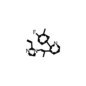 C=Cc1nccn1/C=C(\C)c1cccnc1-c1ccc(F)c(C)c1